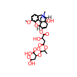 COc1ccc2c3c1O[C@H]1C(OC(=O)C(O)CC(=O)OC(C)C(=O)OC(CC(=O)O)C(=O)O)=CC[C@@]4(O)[C@@H](C2)N(C)CC[C@]314